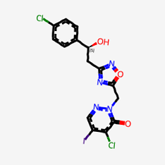 O=c1c(Cl)c(I)cnn1Cc1nc(C[C@H](O)c2ccc(Cl)cc2)no1